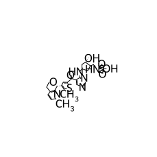 Cc1ccc2c(n1)[C@@H](c1cc(C(=O)c3cncnc3N[C@H]3C[C@H](O)[C@@H]([CH]NS(=O)(=O)O)C3)sc1C)OCC2